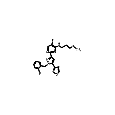 COCCCNc1nc(-c2cc(-c3ccon3)n(Cc3ccccc3F)n2)ncc1F